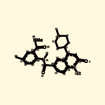 CCn1c(=O)cc(C2CCN(C)CC2)c2cc(C(=O)N(C)c3ccc(C)cc3C(=O)NC)ccc21